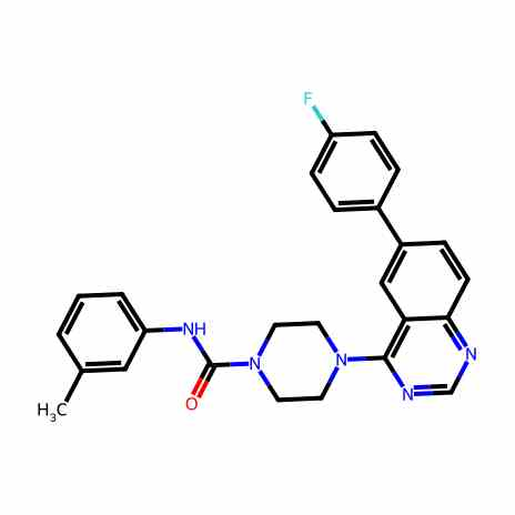 Cc1cccc(NC(=O)N2CCN(c3ncnc4ccc(-c5ccc(F)cc5)cc34)CC2)c1